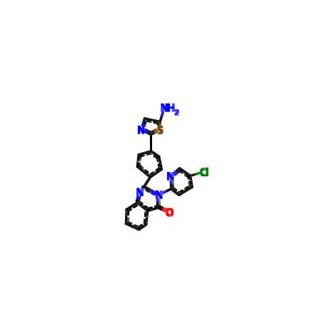 Nc1cnc(-c2ccc(-c3nc4ccccc4c(=O)n3-c3ccc(Cl)cn3)cc2)s1